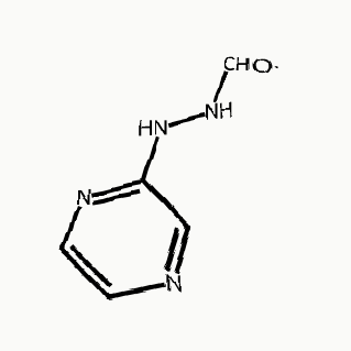 O=[C]NNc1cnccn1